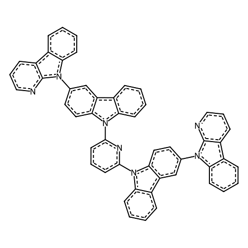 c1cc(-n2c3ccccc3c3cc(-n4c5ccccc5c5cccnc54)ccc32)nc(-n2c3ccccc3c3cc(-n4c5ccccc5c5cccnc54)ccc32)c1